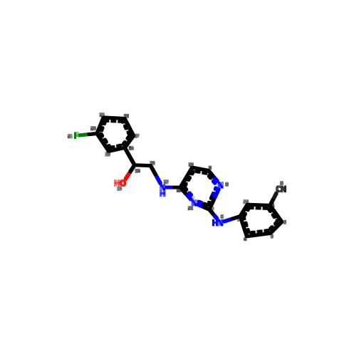 N#Cc1cccc(Nc2nccc(NCC(O)c3cccc(F)c3)n2)c1